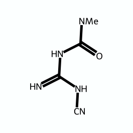 CNC(=O)NC(=N)NC#N